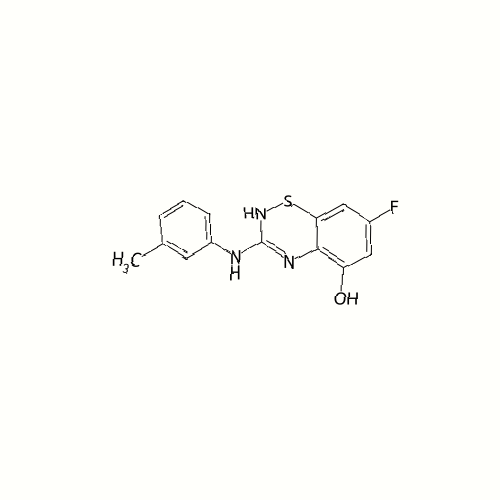 Cc1cccc(NC2=Nc3c(O)cc(F)cc3SN2)c1